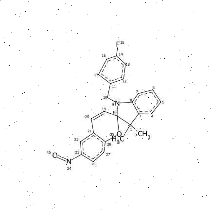 CC1(C)c2ccccc2N(Cc2ccc(F)cc2)C12C=Cc1cc(N=O)ccc1O2